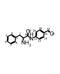 NC(Cc1ccccc1)C(=O)Nc1ccc(C=O)cc1